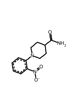 NC(=O)C1CCN(c2ccccc2[N+](=O)[O-])CC1